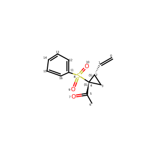 C=C[C@@H]1C[C@]1(C(C)=O)S(=O)(=O)c1ccccc1